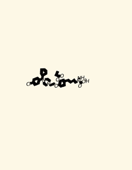 C=CC(=O)Oc1cc(CCCCN(N)C(=O)O)ccc1OCCN1CCN(C(c2ccccc2)c2ccc(Cl)cc2)CC1